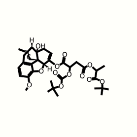 COc1ccc2c3c1O[C@H]1C(OC(=O)C(CC(=O)OC(C)C(=O)OC(C)(C)C)OC(=O)OC(C)(C)C)=CC[C@@]4(O)[C@@H](C2)N(C)CC[C@]314